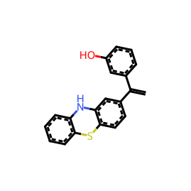 C=C(c1cccc(O)c1)c1ccc2c(c1)Nc1ccccc1S2